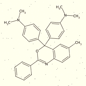 Cc1ccc2c(c1)C(c1ccc(N(C)C)cc1)(c1ccc(N(C)C)cc1)OC(c1ccccc1)=N2